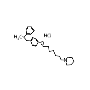 CC(Cc1ccc(OCCCCCCCN2CCCCC2)cc1)c1ccccc1.Cl